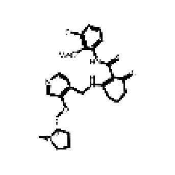 COc1c(Cl)cccc1NC(=S)C1=C(NCc2ccncc2OC[C@@H]2CCCN2C)CCCC1=O